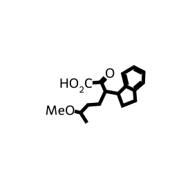 COC(C)CCC(C(=O)C(=O)O)C1CCc2ccccc21